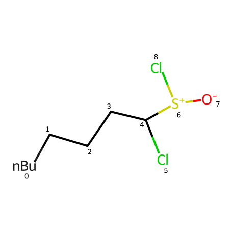 CCCCCCCC(Cl)[S+]([O-])Cl